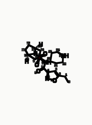 CCc1cc(C(=O)N[C@H]2C[C@H]3CC[C@@H](C2)N3S(=O)(=O)CC2CCNCC2)no1